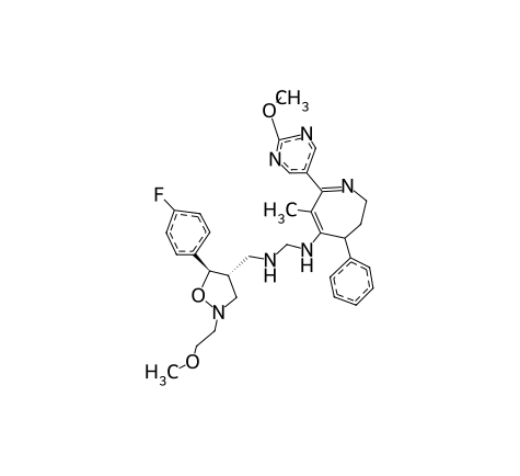 COCCN1C[C@@H](CNCNC2=C(C)C(c3cnc(OC)nc3)=NCCC2c2ccccc2)[C@H](c2ccc(F)cc2)O1